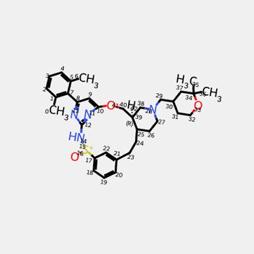 Cc1cccc(C)c1-c1cc2nc(n1)N[S+]([O-])c1cccc(c1)CCC1CCN(CC3CCOC(C)(C)C3)C[C@@H]1CO2